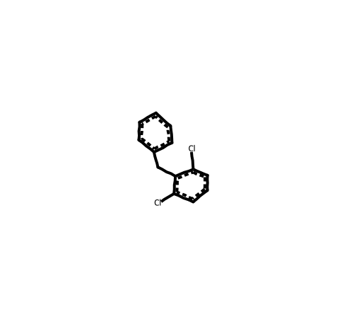 Clc1cccc(Cl)c1Cc1ccccc1